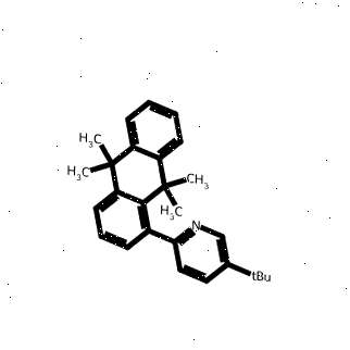 CC(C)(C)c1ccc(-c2cccc3c2C(C)(C)c2ccccc2C3(C)C)nc1